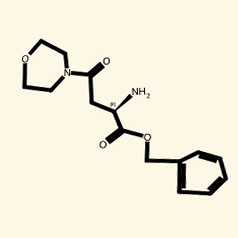 N[C@H](CC(=O)N1CCOCC1)C(=O)OCc1ccccc1